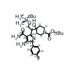 CC(C)(C)OC(=O)N1CCC(O)(C(CO[Si](C)(C)C(C)(C)C)c2nn(-c3ccc(F)cc3)c(N)c2C(N)=O)CC1